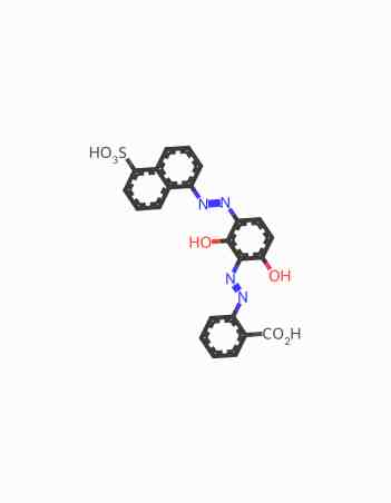 O=C(O)c1ccccc1/N=N/c1c(O)ccc(/N=N/c2cccc3c(S(=O)(=O)O)cccc23)c1O